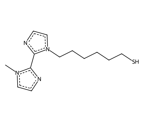 Cn1ccnc1-c1nccn1CCCCCCS